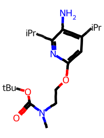 CC(C)c1cc(OCCN(C)C(=O)OC(C)(C)C)nc(C(C)C)c1N